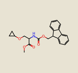 COC(=O)C(COC1CC1)NC(=O)OCC1c2ccccc2-c2ccccc21